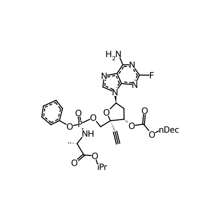 C#C[C@]1(CO[P@@](=O)(N[C@@H](C)C(=O)OC(C)C)Oc2ccccc2)O[C@@H](n2cnc3c(N)nc(F)nc32)C[C@@H]1OC(=O)OCCCCCCCCCC